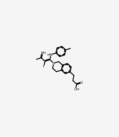 CC(=N)/C(F)=C(\Nc1ccc(C)cc1)N1CCc2cc(CCC(=O)O)ccc2C1